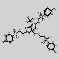 Cc1ccc(S(=O)(=O)CCSCC(CSCCS(=O)(=O)c2ccc(C)cc2)(CSCCS(=O)(=O)c2ccc(C)cc2)C(=O)OC(C)(C)C)cc1